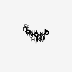 CCOc1cc(C(=O)Nc2cc(C(F)(F)F)ccn2)ccc1-c1nc(C23CCC(CC2)C2CC23)n2ccnc(N)c12